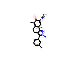 [C-]#[N+]C1=C[C@@]2(C)C(=C(C)C1=O)CCc1c2nn(C)c1-c1cccc(C)c1